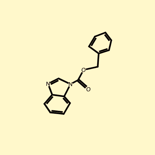 O=C(OCc1ccccc1)n1cnc2ccccc21